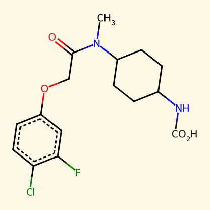 CN(C(=O)COc1ccc(Cl)c(F)c1)C1CCC(NC(=O)O)CC1